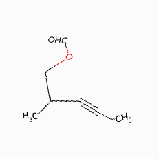 CC#CC(C)COC=O